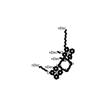 CCCCCCCCCCCCCCCCCCCCc1ccc([Si]2(c3cc(OCCCCCCCCCCCC)cc(OCCCCCCCCCCCC)c3)c3ccccc3-c3ccc(-c4c5nc(cc6ccc([nH]6)c(-c6ccc7c(c6)[Si](c6ccc(OCCCCCCCCCCCCCCCC)cc6)(c6cccc(CCCCCCCCCC)c6)c6ccccc6-7)c6nc(cc7ccc4[nH]7)C=C6)C=C5)cc32)cc1